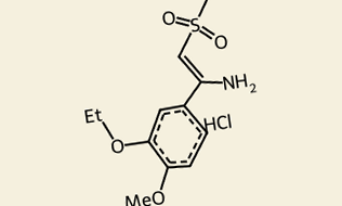 CCOc1cc(/C(N)=C/S(C)(=O)=O)ccc1OC.Cl